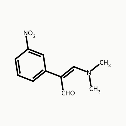 CN(C)C=C(C=O)c1cccc([N+](=O)[O-])c1